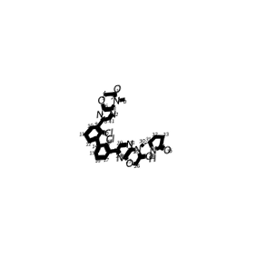 CN1C(=O)COc2nc(-c3cccc(-c4cccc(-c5cnc6c(n5)OCC(=O)N6C[C@@H]5CCC(=O)N5)c4Cl)c3Cl)cnc21